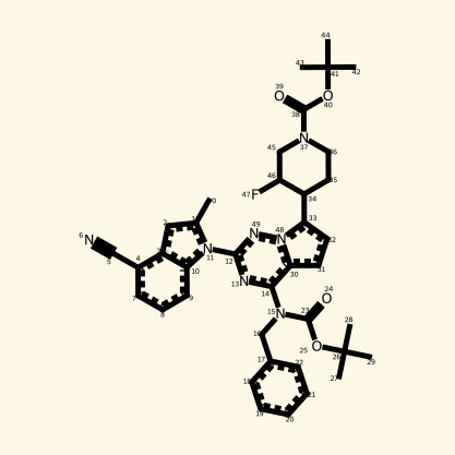 Cc1cc2c(C#N)cccc2n1-c1nc(N(Cc2ccccc2)C(=O)OC(C)(C)C)c2ccc(C3CCN(C(=O)OC(C)(C)C)CC3F)n2n1